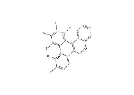 Fc1ccc2c3ccc4ccccc4c3c3c(F)c(F)c(F)c(F)c3c2c1F